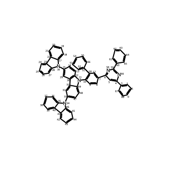 c1ccc(-c2cc(-c3ccc(-n4c5ccc(-n6c7ccccc7c7ccccc76)cc5c5cc(-n6c7ccccc7c7ccccc76)ccc54)c(-c4ccccc4)c3)nc(-c3ccccc3)n2)cc1